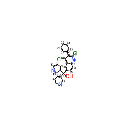 OC(c1cccnc1)(c1cccnc1)c1ccc2nc(Cl)c(-c3ccccc3)c(Cl)c2c1